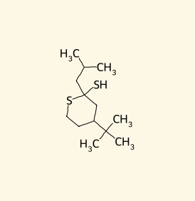 CC(C)CC1(S)CC(C(C)(C)C)CCS1